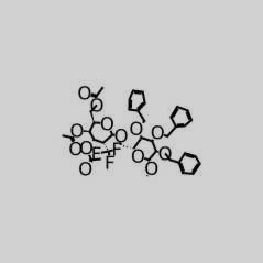 CO[C@H]1O[C@H](COC2O[C@H](COC(C)=O)[C@H](OC(C)=O)[C@H](OC(C)=O)[C@H]2C(F)(F)F)[C@@H](OCc2ccccc2)C(OCc2ccccc2)[C@H]1OCc1ccccc1